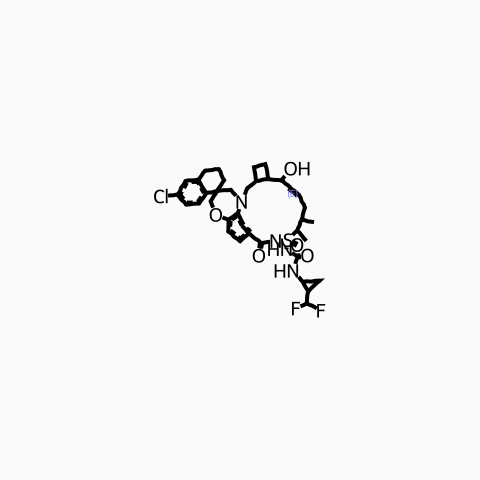 CC1C/C=C/C(O)C2CCC2CN2CC3(CCCc4cc(Cl)ccc43)COc3ccc(cc32)C(=O)N=S(=O)(NC(=O)NC2CC2C(F)F)C1C